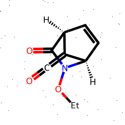 CCON1C(=O)[C@H]2C=C[C@@H]1C2=C=O